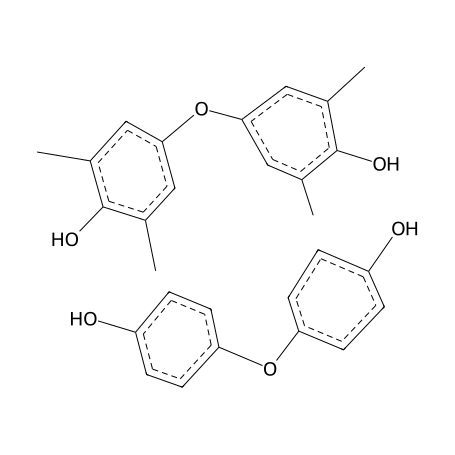 Cc1cc(Oc2cc(C)c(O)c(C)c2)cc(C)c1O.Oc1ccc(Oc2ccc(O)cc2)cc1